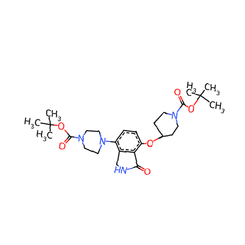 CC(C)(C)OC(=O)N1CCC(Oc2ccc(N3CCN(C(=O)OC(C)(C)C)CC3)c3c2C(=O)NC3)CC1